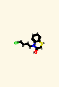 O=C1CSc2ccccc2N1CCCCCl